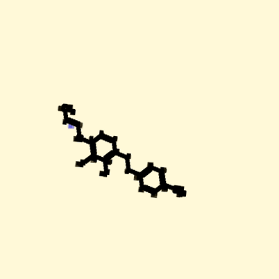 C/C=C/Oc1ccc(CCc2ccc(C)cc2)c(F)c1F